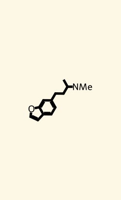 CNC(C)CCc1ccc2ccoc2c1